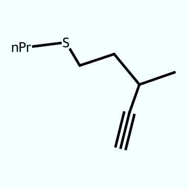 C#CC(C)CCSCC[CH2]